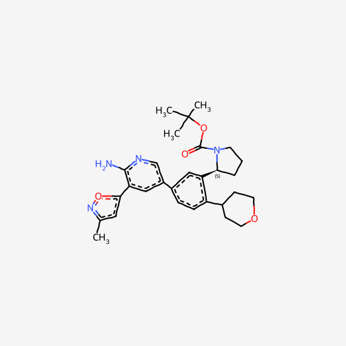 Cc1cc(-c2cc(-c3ccc(C4CCOCC4)c([C@@H]4CCCN4C(=O)OC(C)(C)C)c3)cnc2N)on1